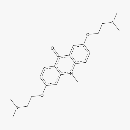 CN(C)CCOc1ccc2c(c1)c(=O)c1ccc(OCCN(C)C)cc1n2C